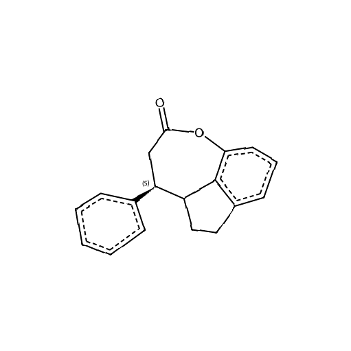 O=C1C[C@H](c2ccccc2)C2CCc3cccc(c32)O1